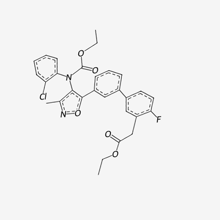 CCOC(=O)Cc1cc(-c2cccc(-c3onc(C)c3N(C(=O)OCC)c3ccccc3Cl)c2)ccc1F